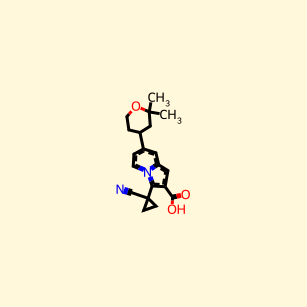 CC1(C)CC(c2ccn3c(C4(C#N)CC4)c(C(=O)O)cc3c2)CCO1